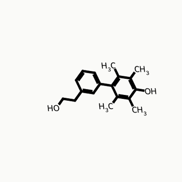 Cc1c(C)c(-c2cccc(CCO)c2)c(C)c(C)c1O